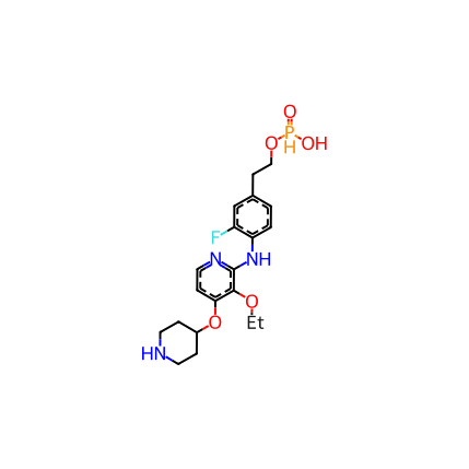 CCOc1c(OC2CCNCC2)ccnc1Nc1ccc(CCO[PH](=O)O)cc1F